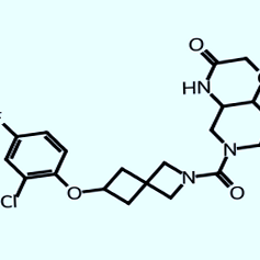 O=C1COC2CCN(C(=O)N3CC4(CC(Oc5ccc(F)cc5Cl)C4)C3)CC2N1